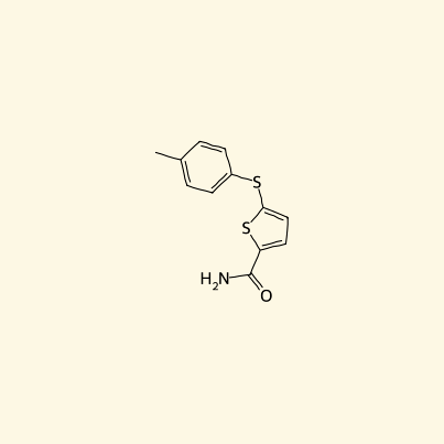 Cc1ccc(Sc2ccc(C(N)=O)s2)cc1